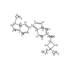 Cc1cnc2ncc(-c3ccn4nc(NC5CC(C)(C)C5)ncc34)cn12